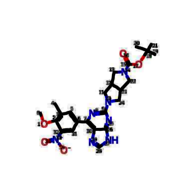 COc1c(C)cc(-c2nc(N3CC4CN(C(=O)OC(C)(C)C)CC4C3)nc3[nH]cnc23)cc1[N+](=O)[O-]